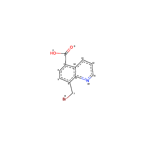 O=C(O)c1ccc(CBr)c2ncccc12